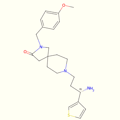 COc1ccc(CN2CC3(CCN(CC[C@H](N)c4ccsc4)CC3)CC2=O)cc1